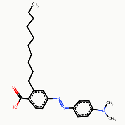 CCCCCCCCCCc1cc(N=Nc2ccc(N(C)C)cc2)ccc1C(=O)O